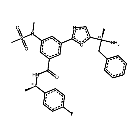 C[C@@H](NC(=O)c1cc(-c2ncc([C@](C)(N)Cc3ccccc3)o2)cc(N(C)S(C)(=O)=O)c1)c1ccc(F)cc1